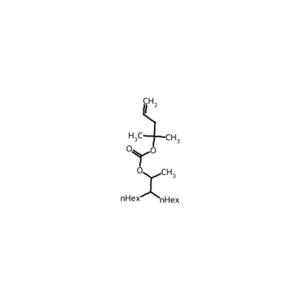 C=CCC(C)(C)OC(=O)OC(C)C(CCCCCC)CCCCCC